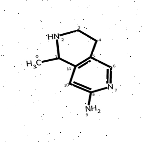 CC1NCCc2cnc(N)cc21